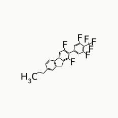 CCCc1ccc2c(c1)Cc1c-2cc(F)c(-c2cc(F)c(C(F)(F)F)c(F)c2)c1F